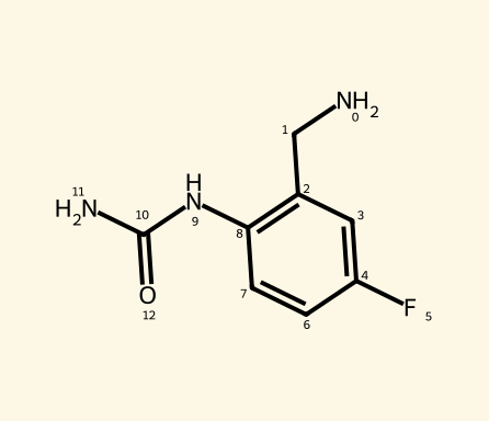 NCc1cc(F)ccc1NC(N)=O